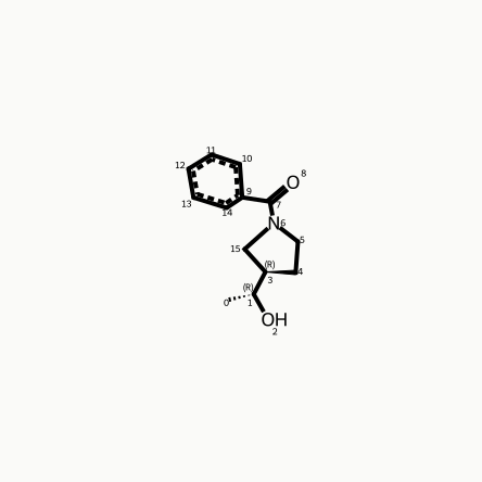 C[C@@H](O)[C@@H]1CCN(C(=O)c2ccccc2)C1